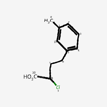 Cc1cccc(CCC(Cl)C(=O)O)c1